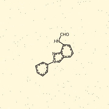 O=CNc1cccc2cn(-c3ccccc3)nc12